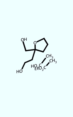 CC(=O)O.CCOC(C)=O.OCCC1(CO)CCCO1